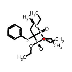 C=CCC(Sc1ccccc1)(P(=O)(OCC)OCC)P(=O)(OCC)OCC